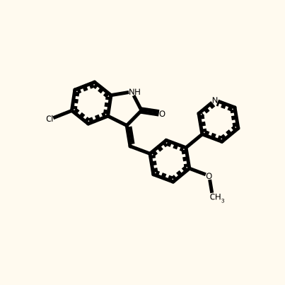 COc1ccc(C=C2C(=O)Nc3ccc(Cl)cc32)cc1-c1cccnc1